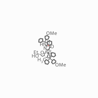 CCC(O)[C@@H]1C[C@@H](C(C)OC(c2ccccc2)(c2ccccc2)c2ccc(OC)cc2)[C@H](n2c(=O)sc3c(=O)[nH]c(NC(c4ccccc4)(c4ccccc4)c4ccc(OC)cc4)nc32)O1